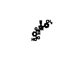 Cc1cccc(-c2nc(NC(=O)[C@H]3CCC[C@@H](C(=O)O)C3)sc2C#N)c1